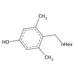 CCCCCCCc1c(C)cc(O)cc1C